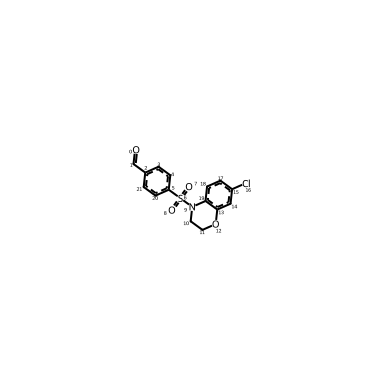 O=Cc1ccc(S(=O)(=O)N2CCOc3cc(Cl)ccc32)cc1